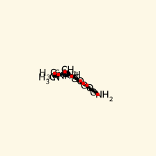 Cc1cc(NCCOCCOCCOCCOCCOCCN)ccc1CNc1nc(C)c(C)s1